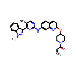 C=CC(=O)N1CCC(Oc2ccc3ccc(Nc4ncc(C#N)c(-c5nn(C)c6ccccc56)n4)cc3n2)CC1